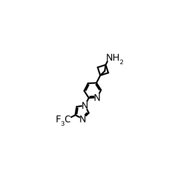 NC12CC(c3ccc(-n4cnc(C(F)(F)F)c4)nc3)(C1)C2